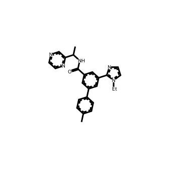 CCn1ccnc1-c1cc(C(=O)NC(C)c2cnccn2)cc(-c2ccc(C)cc2)c1